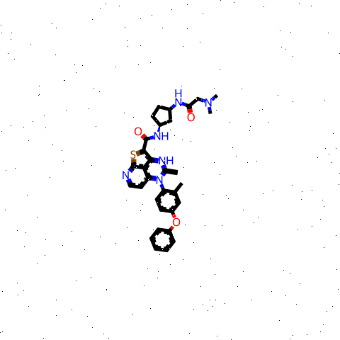 C=c1[nH]c2c(C(=O)N[C@H]3CCC(NC(=O)CN(C)C)C3)sc3nccc(c32)n1-c1ccc(Oc2ccccc2)cc1C